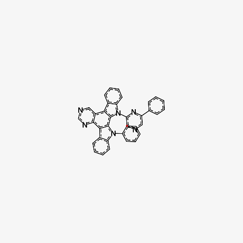 c1ccc(-c2cncc(-n3c4ccccc4c4c5cncnc5c5c6ccccc6n(-c6ccccc6)c5c43)n2)cc1